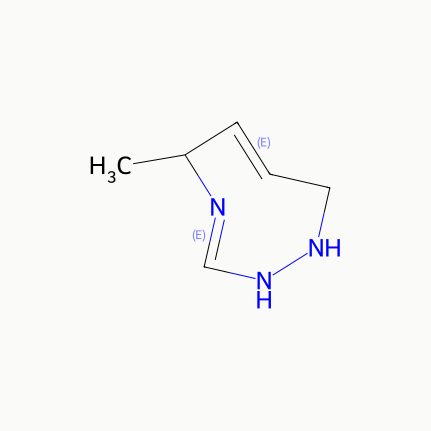 CC1/C=C/CNN/C=N/1